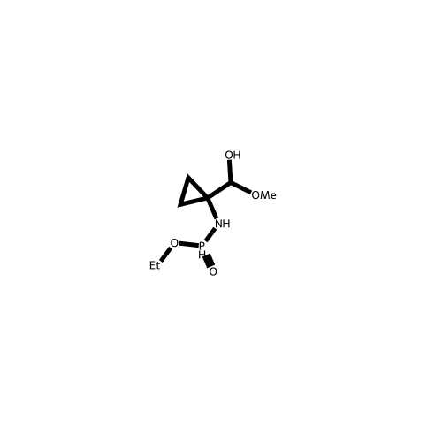 CCO[PH](=O)NC1(C(O)OC)CC1